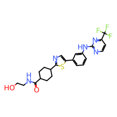 O=C(NCCO)C1CCC(c2ncc(-c3cccc(Nc4nccc(C(F)(F)F)n4)c3)s2)CC1